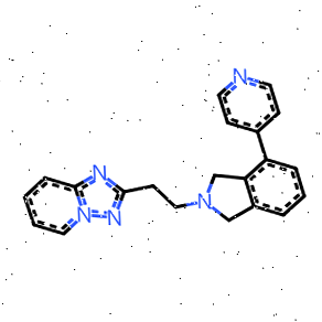 c1cc2c(c(-c3ccncc3)c1)CN(CCc1nc3ccccn3n1)C2